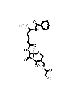 CC(=O)CC(=O)OCC1=C(C(=O)O)N2C(=O)C(NC(=O)CCCC(NC(=O)c3ccccc3)C(=O)O)[C@@H]2SC1